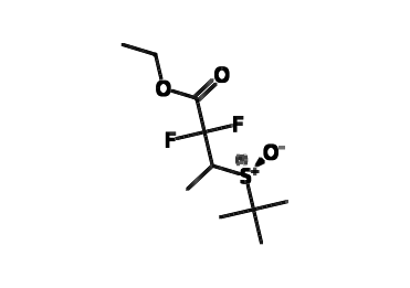 CCOC(=O)C(F)(F)C(C)[S@@+]([O-])C(C)(C)C